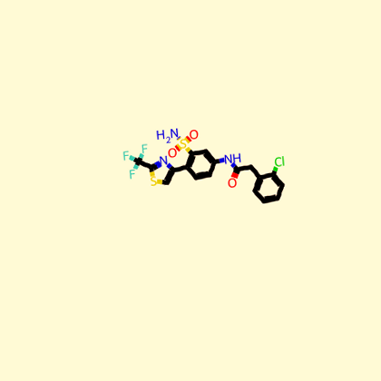 NS(=O)(=O)c1cc(NC(=O)Cc2ccccc2Cl)ccc1-c1csc(C(F)(F)F)n1